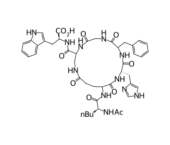 CCCC[C@H](NC(C)=O)C(=O)NC1CCC(=O)NCC(C(=O)N[C@@H](Cc2c[nH]c3ccccc23)C(=O)O)NC(=O)CNC(=O)C(Cc2ccccc2)NC(=O)[C@H](Cc2c[nH]cn2)NC1=O